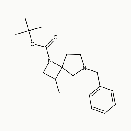 CC1CN(C(=O)OC(C)(C)C)C12CCN(Cc1ccccc1)C2